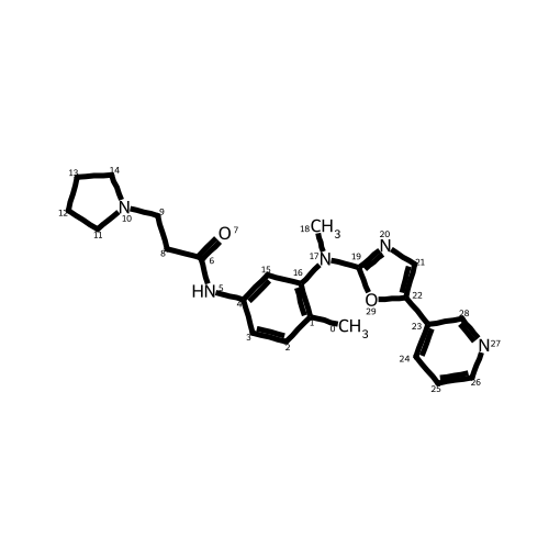 Cc1ccc(NC(=O)CCN2CCCC2)cc1N(C)c1ncc(-c2cccnc2)o1